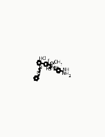 CCO[C@H](C(=O)NCc1ccc(C(=N)N)cc1)c1c(F)cc(-c2ccccc2OCCOCc2ccccc2)cc1F.Cl